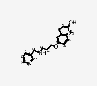 CN1C(O)=CCc2cc(OCCCNCc3cccnc3)ccc21